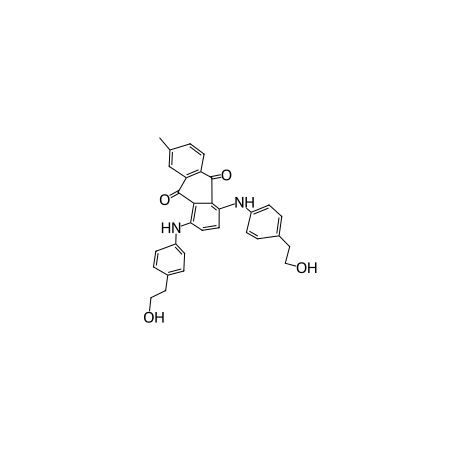 Cc1ccc2c(c1)C(=O)c1c(Nc3ccc(CCO)cc3)ccc(Nc3ccc(CCO)cc3)c1C2=O